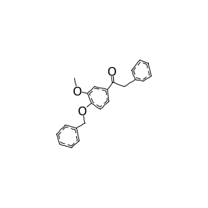 COc1cc(C(=O)Cc2ccccc2)ccc1OCc1ccccc1